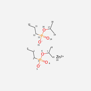 CCCP(=O)([O-])OC(C)C.CCCP(=O)([O-])OC(C)C.[Zn+2]